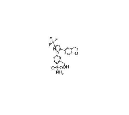 NS(=O)(=O)c1ccc(-n2nc(C(F)(F)F)cc2-c2ccc3c(c2)CCO3)cc1CO